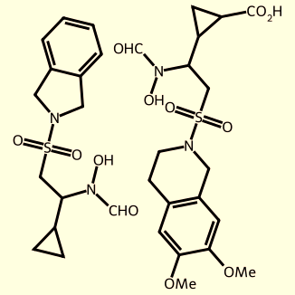 COc1cc2c(cc1OC)CN(S(=O)(=O)CC(C1CC1C(=O)O)N(O)C=O)CC2.O=CN(O)C(CS(=O)(=O)N1Cc2ccccc2C1)C1CC1